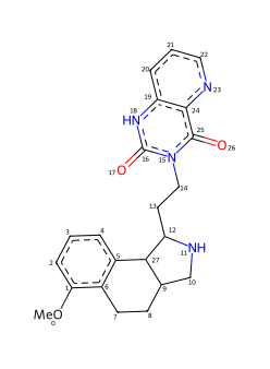 COc1cccc2c1CCC1CNC(CCn3c(=O)[nH]c4cccnc4c3=O)C21